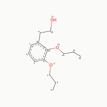 CCCOc1cccc(CCO)c1OCCC